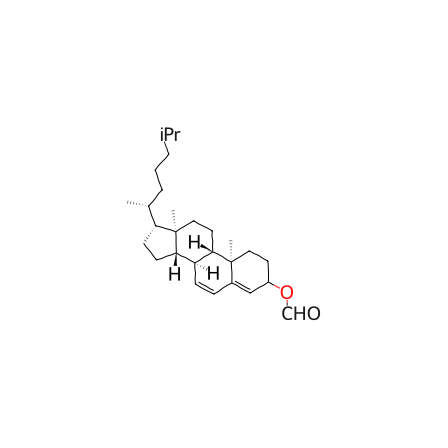 CC(C)CCC[C@@H](C)[C@H]1CC[C@H]2[C@@H]3C=CC4=CC(OC=O)CC[C@]4(C)[C@H]3CC[C@]12C